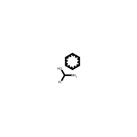 CCC(N)O.c1ccccc1